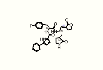 O=C1OCC/C1=C\[C@H](C[C@@H]1CCNC1=O)NC(=O)[C@H](Cc1ccc(F)cc1)NC(=O)c1ccc(-c2ccccc2)[nH]1